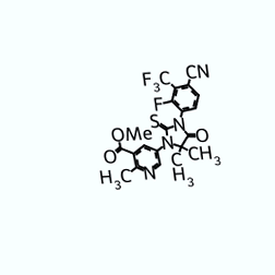 COC(=O)c1cc(N2C(=S)N(c3ccc(C#N)c(C(F)(F)F)c3F)C(=O)C2(C)C)cnc1C